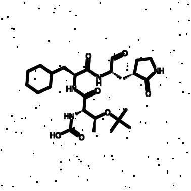 C[C@H](OC(C)(C)C)[C@H](NC(=O)O)C(=O)N[C@@H](CC1CCCCC1)C(=O)N[C@H](C=O)C[C@@H]1CCNC1=O